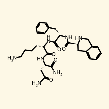 NCCCC[C@H](NC(=O)[C@H](Cc1ccccc1)NC(=O)[C@@H]1Cc2ccccc2CN1)C(=O)N[C@@H](CC(N)=O)C(N)=O